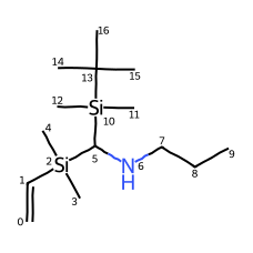 C=C[Si](C)(C)C(NCCC)[Si](C)(C)C(C)(C)C